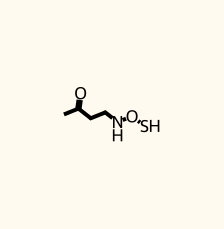 CC(=O)CCNOS